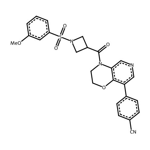 COc1cccc(S(=O)(=O)N2CC(C(=O)N3CCOc4c(-c5ccc(C#N)cc5)cncc43)C2)c1